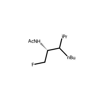 CCCCC(C(C)C)[C@H](CF)NC(C)=O